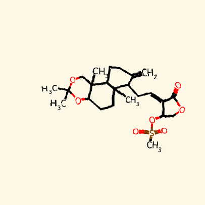 C=C1CCC2C3(C)COC(C)(C)OC3CCC2(C)C1C/C=C1/C(=O)OCC1OS(C)(=O)=O